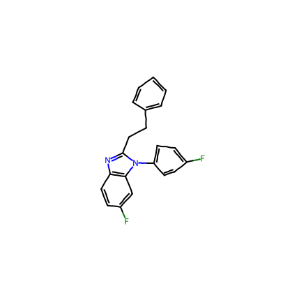 Fc1ccc(-n2c(CCc3ccccc3)nc3ccc(F)cc32)cc1